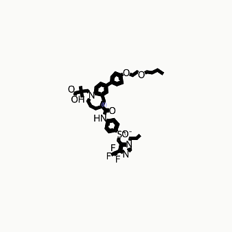 CCCCOCCOc1ccc(-c2ccc3c(c2)/C=C(/C(=O)Nc2ccc([S+]([O-])Cc4c(C(F)(F)F)ncn4CCC)cc2)CCCN3CC(C)(C)C(=O)O)cc1